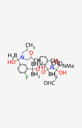 BC(B)(Oc1cccc(C)c1C(B)(O)N(C=O)C(O)(CCC=O)C(=O)NC)c1cc(C(B)(O)N2CC(C)OC(C)C2)ccc1F